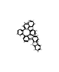 c1ccc2c(c1)-c1cccc(-c3cccc4c3sc3ccccc34)c1-c1ccccc1-c1c-2ccc2ncccc12